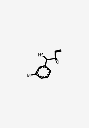 C=CC(=O)C(S)c1cccc(Br)c1